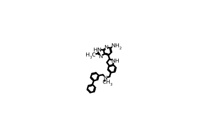 Cc1nc2c(C3Cc4cc(CN(C)Cc5cccc(-c6ccccc6)c5)ccc4N3)cc(N)nc2[nH]1